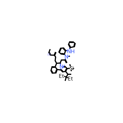 C=C(/C=C\C)CCC1c2ccccc2-c2cc(C(C)C(C)(CC)CC)c([Si](C)(C)C)c[n+]2C1CC(=C)N(C)c1ccccc1Nc1ccccc1